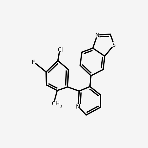 Cc1cc(F)c(Cl)cc1-c1ncccc1-c1ccc2ncsc2c1